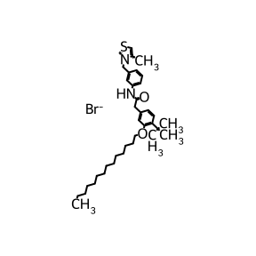 CCCCCCCCCCCCCCOc1cc(CC(=O)Nc2cccc(C[n+]3cscc3C)c2)ccc1C(C)(C)C.[Br-]